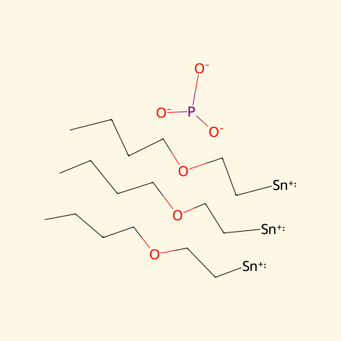 CCCCOC[CH2][Sn+].CCCCOC[CH2][Sn+].CCCCOC[CH2][Sn+].[O-]P([O-])[O-]